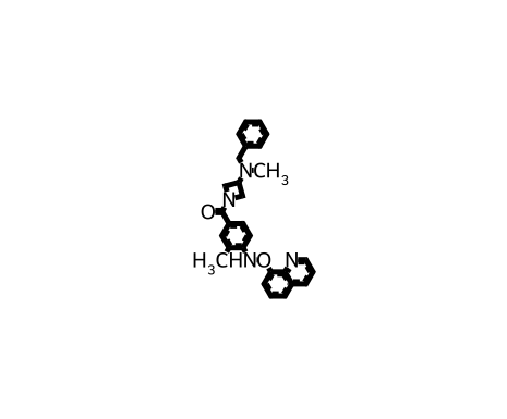 Cc1cc(C(=O)N2CC(N(C)Cc3ccccc3)C2)ccc1NOc1cccc2cccnc12